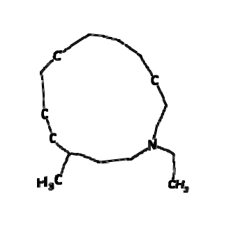 CCN1CCCCCCCCCC(C)CC1